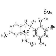 CCC(C)(Pc1ccc(C)cc1CNC(C)(C)C)c1cc(C)cc(C(C)(C)C)c1OCOC